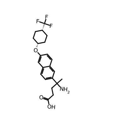 CC(N)(CCC(=O)O)c1ccc2cc(O[C@H]3CC[C@@H](C(F)(F)F)CC3)ccc2c1